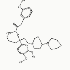 CCOc1ccc(C2(CCN3CCC(N4CCCCC4)CC3)CCCNC(C(=O)Cc3cccc(OC(C)C)c3)C2)cc1OCC